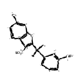 COc1cccc(C(C)(C)c2oc3cc(C#N)ccc3c2C(=O)O)n1